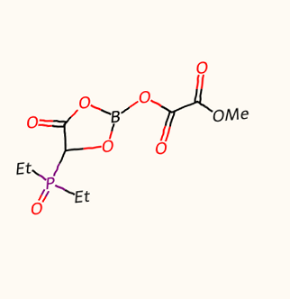 CCP(=O)(CC)C1OB(OC(=O)C(=O)OC)OC1=O